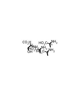 C[C@H](N)C(=O)O.C[C@H](N)C(=O)O.C[C@H](N)C(=O)O.N[C@@H](CO)C(=O)O